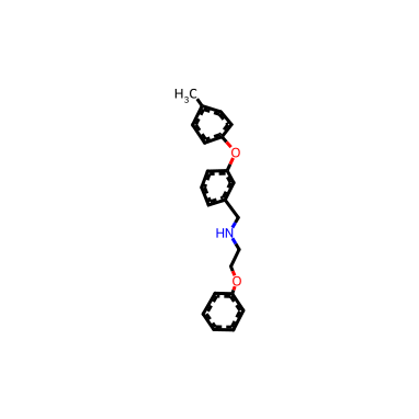 Cc1ccc(Oc2cccc(CNCCOc3ccccc3)c2)cc1